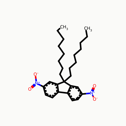 CCCCCCCCC1(CCCCCCCC)c2cc([N+](=O)[O-])ccc2-c2ccc([N+](=O)[O-])cc21